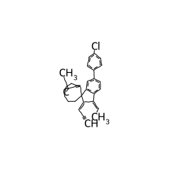 C#C/C=C1\C(=C/C)c2ccc(-c3ccc(Cl)cc3)cc2C12CCC1CCC2=CC(C)C1